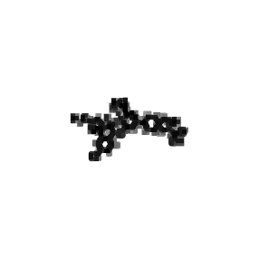 Cc1ccn(-c2cc(Cl)ccc2[C@@H](Oc2cc(C3=CCC4(CC3)CNC(C(=O)O)C4)nc(N)n2)C(F)(F)F)n1.Cl